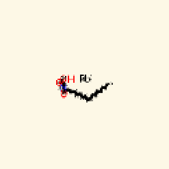 CCCCCCCC/C=C\CCCCCCCC(=O)N(C)CC(=O)O.[Pb]